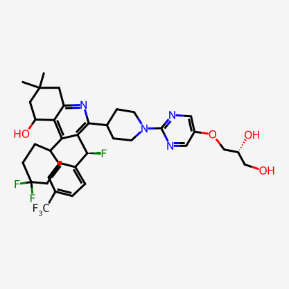 CC1(C)Cc2nc(C3CCN(c4ncc(OC[C@H](O)CO)cn4)CC3)c([C@@H](F)c3ccc(C(F)(F)F)cc3)c(C3CCC(F)(F)CC3)c2C(O)C1